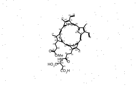 C=CC1=C(C)C2=NC1=CC1=NC(=CC3=NC(=CC4=NC(=C2)C(C=C)=C4C)C(C)C3CCC(=O)OC)C(CCC(=O)N[C@@H](CC(=O)O)C(=O)O)=C1C